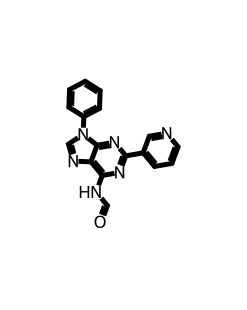 O=CNc1nc(-c2cccnc2)nc2c1ncn2-c1ccccc1